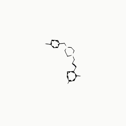 Clc1ccc(CN2CCN(C/C=C/c3ccc(Cl)cc3Cl)CC2)cc1